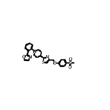 CS(=O)(=O)c1ccc(OCc2csc(C3CCN(c4ccccc4-c4ncco4)CC3)n2)cc1